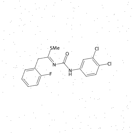 CSC(Cc1ccccc1F)=NC(=O)Nc1ccc(Cl)c(Cl)c1